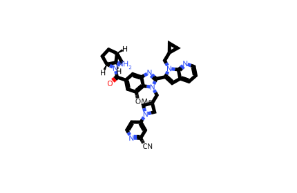 COc1cc(C(=O)N2C[C@H]3CC[C@@H]2[C@@H]3N)cc2nc(-c3cc4cccnc4n3CC3CC3)n(CC3CN(c4ccnc(C#N)c4)C3)c12